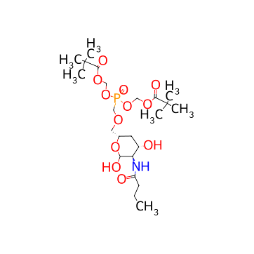 CCCC(=O)N[C@H]1C(O)O[C@H](COCP(=O)(OCOC(=O)C(C)(C)C)OCOC(=O)C(C)(C)C)C[C@@H]1O